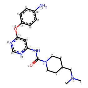 CN(C)CC1CCN(C(=O)Nc2cc(Oc3ccc(N)cc3)ncn2)CC1